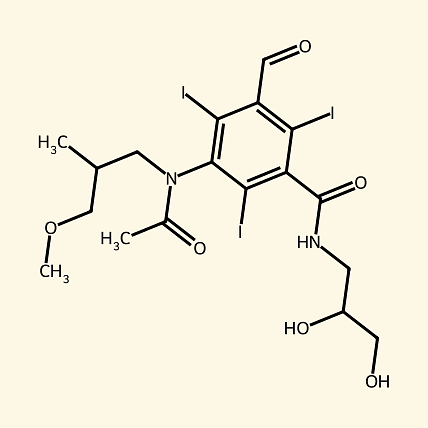 COCC(C)CN(C(C)=O)c1c(I)c(C=O)c(I)c(C(=O)NCC(O)CO)c1I